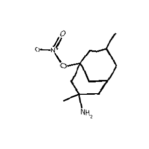 CC1CC2CC(C)(N)CC(O[N+](=O)[O-])(C1)C2